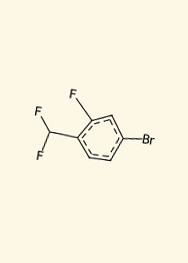 Fc1cc(Br)ccc1C(F)F